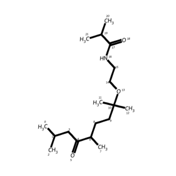 CC(C)CC(=O)C(C)CCC(C)(C)OCCNC(=O)C(C)C